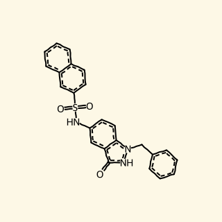 O=c1[nH]n(Cc2ccccc2)c2ccc(NS(=O)(=O)c3ccc4ccccc4c3)cc12